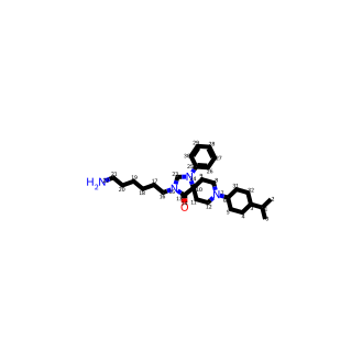 CC(C)C1CCC(N2CCC3(CC2)C(=O)N(CCCCCCN)CN3c2ccccc2)CC1